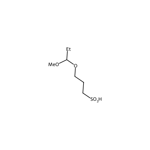 CCC(OC)OCCCS(=O)(=O)O